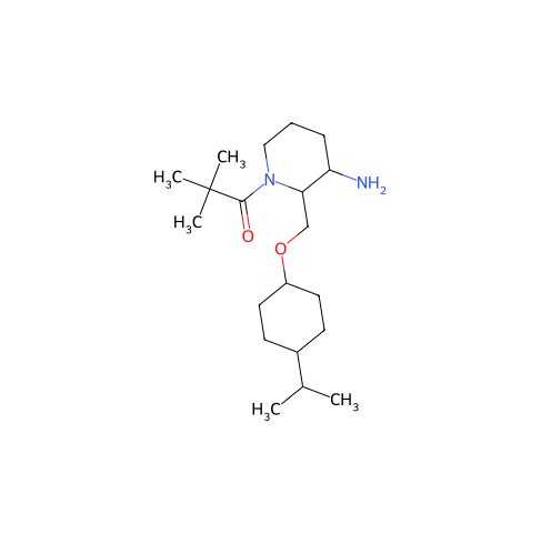 CC(C)C1CCC(OCC2C(N)CCCN2C(=O)C(C)(C)C)CC1